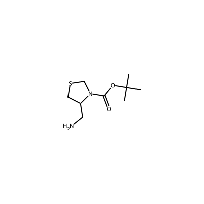 CC(C)(C)OC(=O)N1CSCC1CN